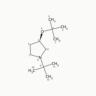 CC(C)(C)O[C@@H]1CCN(C(C)(C)C)C1